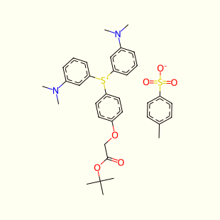 CN(C)c1cccc([S+](c2ccc(OCC(=O)OC(C)(C)C)cc2)c2cccc(N(C)C)c2)c1.Cc1ccc(S(=O)(=O)[O-])cc1